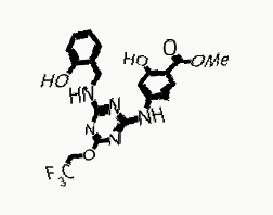 COC(=O)c1ccc(Nc2nc(NCc3ccccc3O)nc(OCC(F)(F)F)n2)cc1O